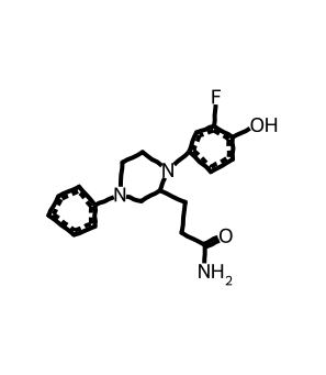 NC(=O)CCC1CN(c2ccccc2)CCN1c1ccc(O)c(F)c1